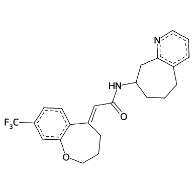 O=C(C=C1CCCOc2cc(C(F)(F)F)ccc21)NC1CCCc2cccnc2C1